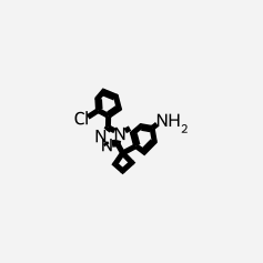 Cn1c(-c2ccccc2Cl)nnc1C1(c2ccc(N)cc2)CCC1